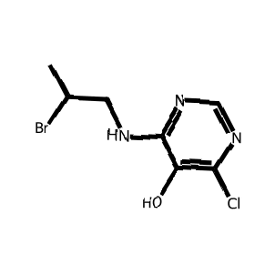 CC(Br)CNc1ncnc(Cl)c1O